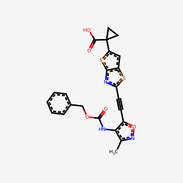 Cc1noc(C#Cc2nc3sc(C4(C(=O)O)CC4)cc3s2)c1NC(=O)OCc1ccccc1